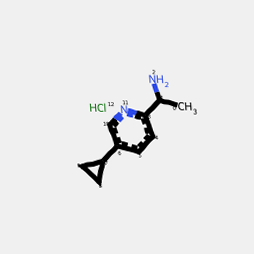 CC(N)c1ccc(C2CC2)cn1.Cl